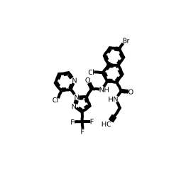 C#CCNC(=O)c1cc2cc(Br)ccc2c(Cl)c1NC(=O)c1cc(C(F)(F)F)nn1-c1ncccc1Cl